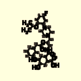 CC(C)Oc1ccc(F)cc1N1CCN(CC(CNC(=O)C2CC(O)C(O)CC2C(=O)O)OC(=O)Cc2ccccc2)CC1